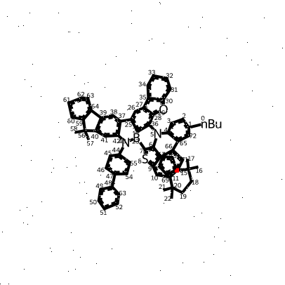 CCCCc1ccc(N2c3c(sc4cc5c(cc34)C(C)(C)CCC5(C)C)B3c4c(cc5c(oc6ccccc65)c42)-c2cc4c(cc2N3c2ccc(-c3ccccc3)cc2)C(C)(C)c2ccccc2-4)c(-c2ccccc2)c1